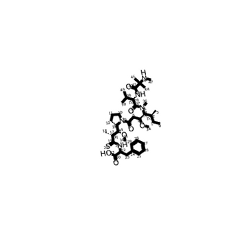 CC[C@H](C)[C@@H](C(CC(=O)N1CCC[C@H]1[C@H](OC)[C@@H](C)C(=S)NC(Cc1ccccc1)C(=O)O)OC)N(C)C(=O)[C@@H](NC(=O)C(C)(C)NC)C(C)C